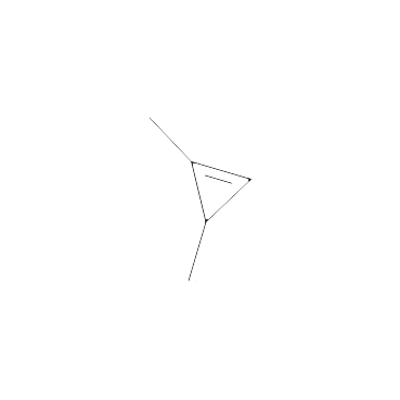 [CH2]C1C=C1C